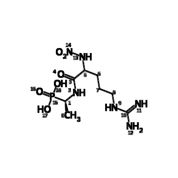 C[C@H](NC(=O)C(CCCNC(=N)N)N[N+](=O)[O-])P(=O)(O)O